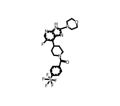 O=C(c1ccc(S(F)(F)(F)(F)F)cc1)N1CCC(c2c(F)cnc3[nH]c(N4CCOCC4)nc23)CC1